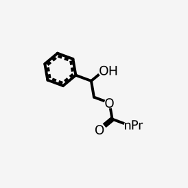 CCCC(=O)OCC(O)c1ccccc1